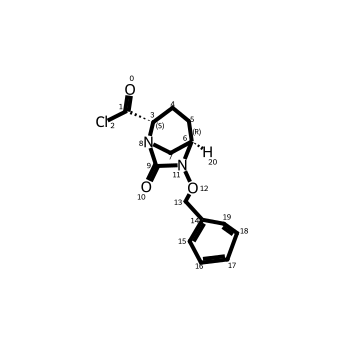 O=C(Cl)[C@@H]1CC[C@@H]2CN1C(=O)N2OCc1ccccc1